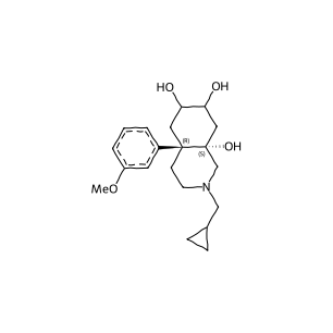 COc1cccc([C@]23CCN(CC4CC4)C[C@]2(O)CC(O)C(O)C3)c1